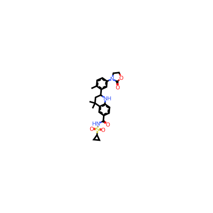 Cc1ccc(N2CCOC2=O)cc1C1CC(C)(C)c2cc(C(=O)NS(=O)(=O)C3CC3)ccc2N1